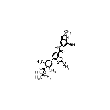 COc1nc2c(C(=O)Nc3cc(C#N)c4nn(C)cc4c3)ccc(N3C[C@H](C)N(C(=O)OC(C)(C)C)[C@@H](C)C3)c2s1